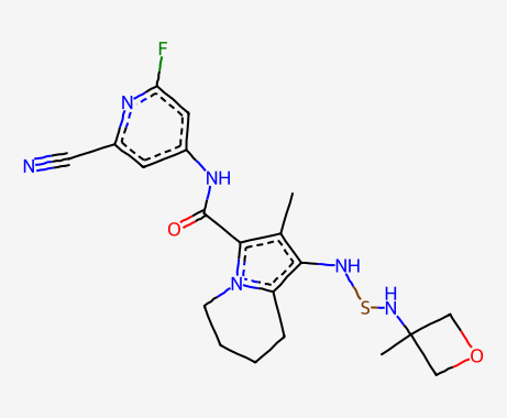 Cc1c(NSNC2(C)COC2)c2n(c1C(=O)Nc1cc(F)nc(C#N)c1)CCCC2